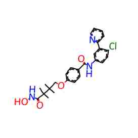 CC(C)(COc1ccc(C(=O)Nc2ccc(Cl)c(-c3ccccn3)c2)cc1)C(C)(C)C(=O)NO